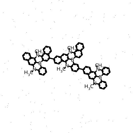 CN1c2ccccc2B2c3ccccc3N(C)c3c2c1cc1cc(-c2ccc4c(c2)B2c5ccc6ccccc6c5N(C)c5cc6cc(-c7cc8c(c9ccccc79)N(C)c7c9c(cc%10ccccc7%10)N(C)c7ccccc7B89)ccc6c(c52)N4C)ccc31